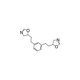 C1=NCC(CCc2cccc(CCC3CN=CO3)c2)O1